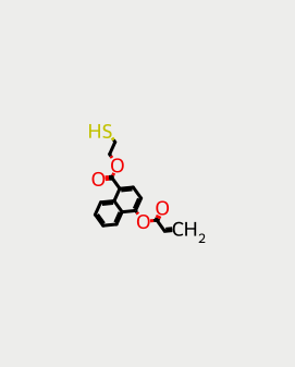 C=CC(=O)Oc1ccc(C(=O)OCCS)c2ccccc12